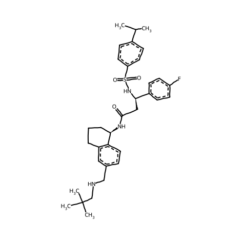 CC(C)c1ccc(S(=O)(=O)N[C@H](CC(=O)N[C@@H]2CCCc3cc(CNCC(C)(C)C)ccc32)c2ccc(F)cc2)cc1